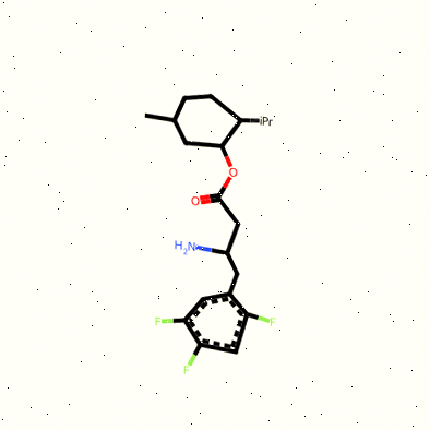 CC1CCC(C(C)C)C(OC(=O)CC(N)Cc2cc(F)c(F)cc2F)C1